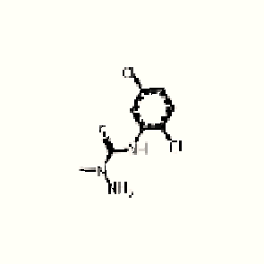 CN(N)C(=S)Nc1cc(Cl)ccc1Cl